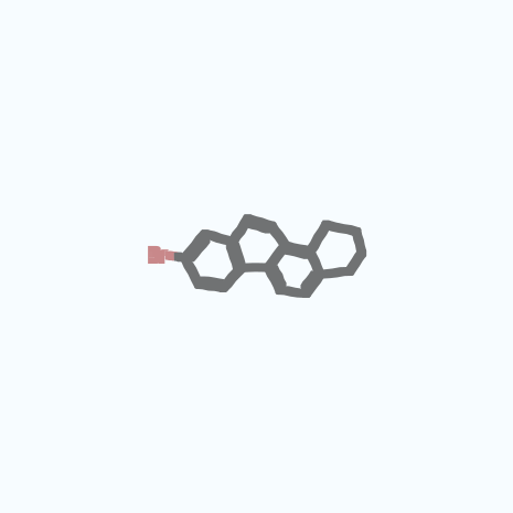 Brc1ccc2c(ccc3c4c(ccc32)CCCC4)c1